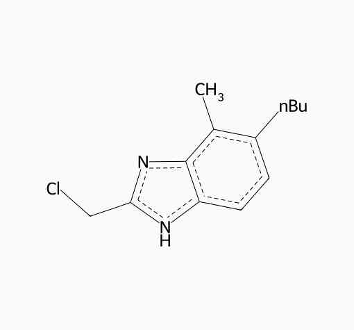 CCCCc1ccc2[nH]c(CCl)nc2c1C